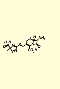 CC1(C(N)=O)N=NC(SCC2=C(C(=O)O)N3C(=O)C(N)[C@@H]3SC2)=N1